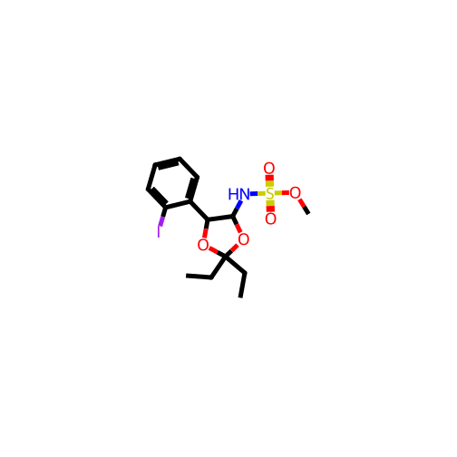 CCC1(CC)OC(NS(=O)(=O)OC)C(c2ccccc2I)O1